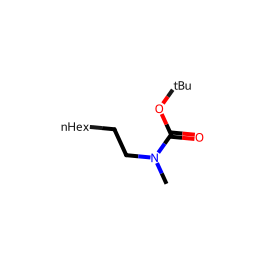 CCCCCCCCN(C)C(=O)OC(C)(C)C